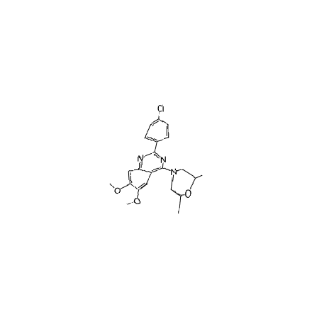 COc1cc2nc(-c3ccc(Cl)cc3)nc(N3CC(C)OC(C)C3)c2cc1OC